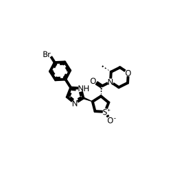 C[C@@H]1COCCN1C(=O)[C@@H]1C[S+]([O-])C[C@H]1c1ncc(-c2ccc(Br)cc2)[nH]1